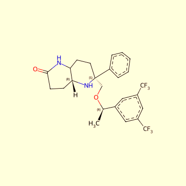 C[C@@H](OC[C@@]1(c2ccccc2)CCC2NC(=O)CC[C@H]2N1)c1cc(C(F)(F)F)cc(C(F)(F)F)c1